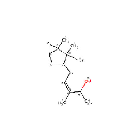 CC(=CCC1CC2CC2(C)C1(C)C)C(C)O